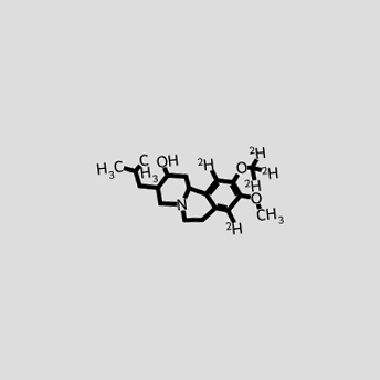 [2H]c1c2c(c([2H])c(OC([2H])([2H])[2H])c1OC)C1CC(O)C(CC(C)C)CN1CC2